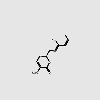 COC1=CC[C@@H](C/C=C(C)/C=C\I)OC1=O